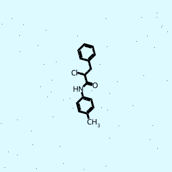 Cc1ccc(NC(=O)C(Cl)Cc2ccccc2)cc1